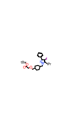 CC(C)c1c(I)c(-c2ccccc2)nn1CC1CCC(COCC(=O)OC(C)(C)C)CC1